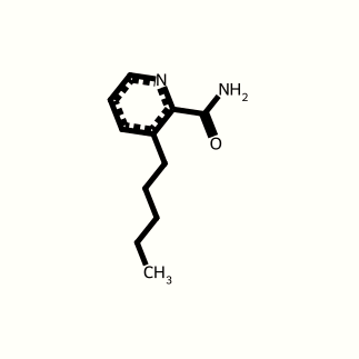 CCCCCc1cccnc1C(N)=O